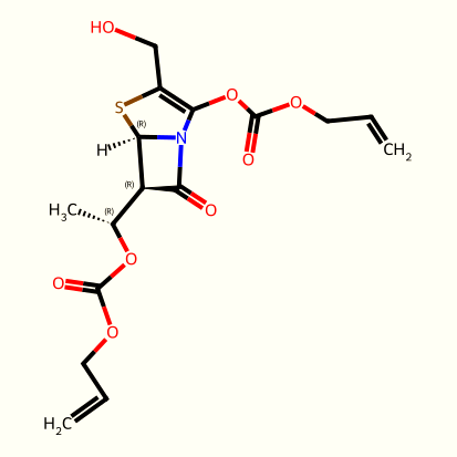 C=CCOC(=O)OC1=C(CO)S[C@@H]2[C@H]([C@@H](C)OC(=O)OCC=C)C(=O)N12